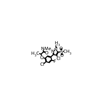 CNC(=O)C(C)Oc1cc(-c2nn(C)c(S(C)(=O)=O)c2Cl)c(F)cc1Cl